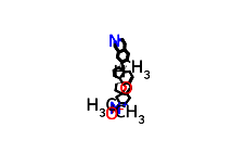 C[C@]12CC=C3C=C4CC[C@@H]([N+](C)(C)[O-])CC45CC[C@]3(O5)[C@@H]1CC[C@@H]2c1ccc2ccncc2c1